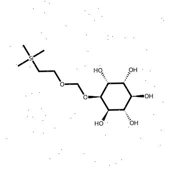 C[Si](C)(C)CCOCO[C@H]1[C@H](O)[C@H](O)[C@@H](O)[C@H](O)[C@H]1O